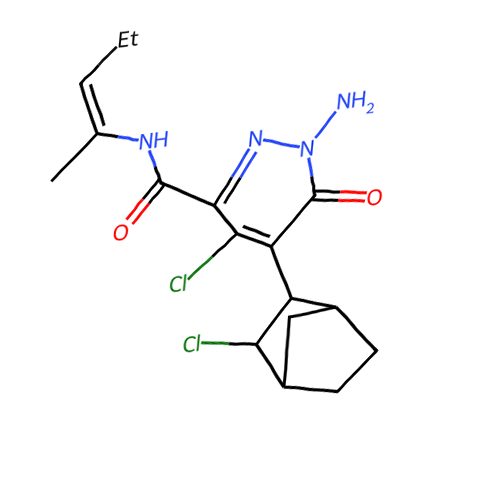 CC/C=C(/C)NC(=O)c1nn(N)c(=O)c(C2C3CCC(C3)C2Cl)c1Cl